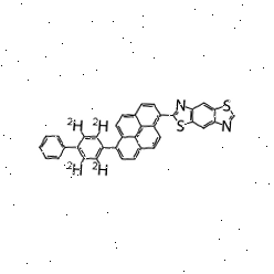 [2H]c1c([2H])c(-c2ccc3ccc4c(-c5nc6cc7scnc7cc6s5)ccc5ccc2c3c54)c([2H])c([2H])c1-c1ccccc1